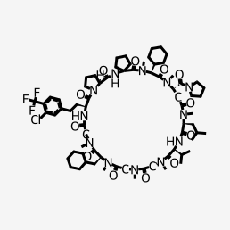 CC(C)C[C@H]1C(=O)N[C@@H](C(C)C)C(=O)N(C)CC(=O)N(C)CC(=O)N(C)[C@@H](CC2CCCCC2)C(=O)N(C)CC(=O)N[C@@H](CCc2ccc(C(F)(F)F)c(Cl)c2)C(=O)N2CCC[C@H]2C(=O)NC2(CCCC2)C(=O)N(C)[C@@H](C2CCCCC2)C(=O)N(C)[C@H](C(=O)N2CCCC2)CC(=O)N1C